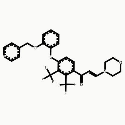 O=C(C=CN1CCOCC1)c1ccc(Sc2ccccc2OCc2ccncc2)c(C(F)(F)F)c1C(F)(F)F